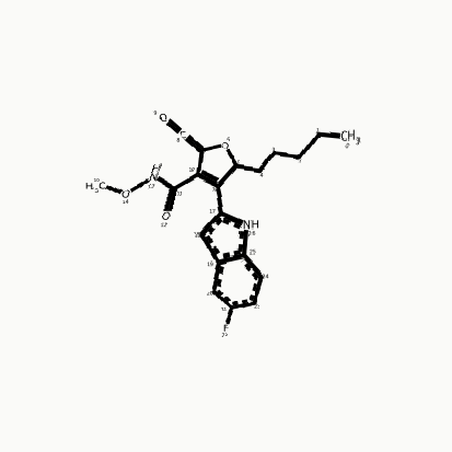 CCCCCC1OC(=C=O)C(C(=O)NOC)=C1c1cc2cc(F)ccc2[nH]1